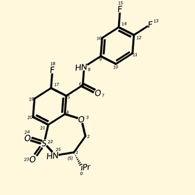 CC(C)[C@H]1COC2=C(C(=O)Nc3ccc(F)c(F)c3)C(F)CC=C2S(=O)(=O)N1